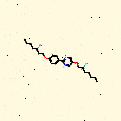 CCCCC[C@H](F)COc1cnc(-c2ccc(OCC[C@H](F)CCCC)cc2)nc1